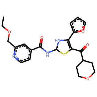 CCOCc1cc(C(=O)NC2NC(c3ccco3)=C(C(=O)C3CCOCC3)S2)ccn1